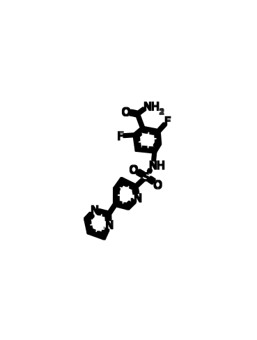 NC(=O)c1c(F)cc(NS(=O)(=O)c2ccc(-c3ncccn3)cn2)cc1F